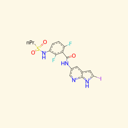 CCCS(=O)(=O)Nc1ccc(F)c(C(=O)Nc2cnc3[nH]c(I)cc3c2)c1F